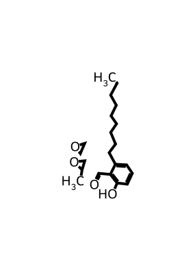 C1CO1.CC1CO1.CCCCCCCCCc1cccc(O)c1C=O